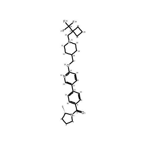 C[C@H]1CCCN1C(=O)c1ccc(-c2ccc(OCC3CCN(CC4(C(F)(F)F)CCC4)CC3)nc2)cc1